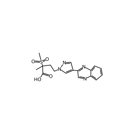 CC(CCn1cc(-c2cnc3ccccc3n2)cn1)(C(=O)O)S(C)(=O)=O